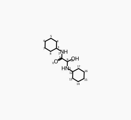 O=C(NC1CCCCC1)C(O)NC1CCCCC1